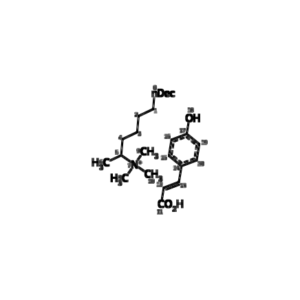 CCCCCCCCCCCCCCC(C)[N+](C)(C)C.O=C(O)/C=C/c1ccc(O)cc1